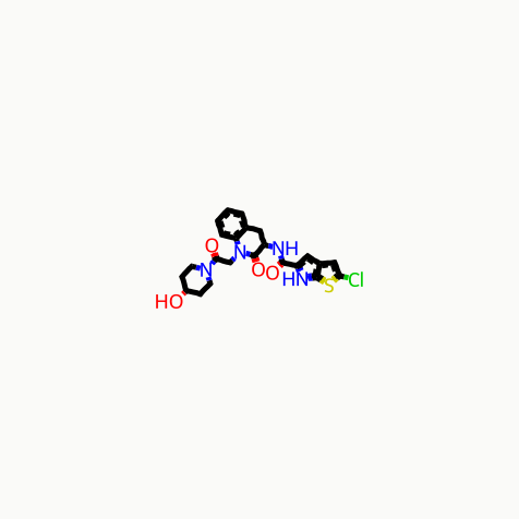 O=C(NC1Cc2ccccc2N(CC(=O)N2CCC(O)CC2)C1=O)c1cc2cc(Cl)sc2[nH]1